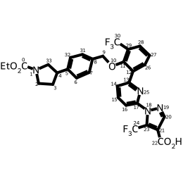 CCOC(=O)N1CCC(c2ccc(COc3c(-c4cccc(-n5ncc(C(=O)O)c5C(F)(F)F)n4)cccc3C(F)(F)F)cc2)C1